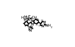 COc1cccc(-n2cncn2)c1-c1nc2cc(-c3cnc(N)nc3)ccc2n1C(C)(C)C